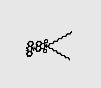 CCCCCCCCCCCC(CCCCCCCCCCC)N1C(=O)c2cccc3c(N4c5ccccc5Sc5ccccc54)ccc(c23)C1=O